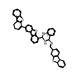 NC(NC(/N=C/C1C=CC2=C(C1)SC1C=CC=CC21)c1ccccc1)c1cccc2c1oc1ccc(C3=CCCc4c3sc3ccccc43)cc12